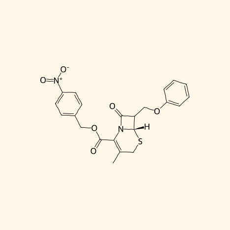 CC1=C(C(=O)OCc2ccc([N+](=O)[O-])cc2)N2C(=O)C(COc3ccccc3)[C@@H]2SC1